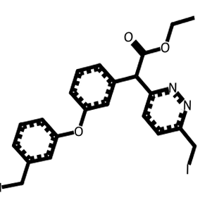 CCOC(=O)C(c1cccc(Oc2cccc(CI)c2)c1)c1ccc(CI)nn1